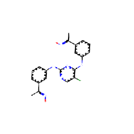 CC(=NO)c1cccc(Nc2ncc(F)c(Nc3cccc(C(C)=NO)c3)n2)c1